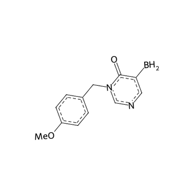 Bc1cncn(Cc2ccc(OC)cc2)c1=O